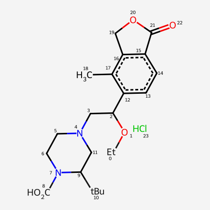 CCOC(CN1CCN(C(=O)O)C(C(C)(C)C)C1)c1ccc2c(c1C)COC2=O.Cl